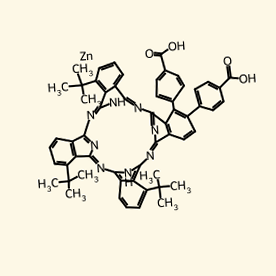 CC(C)(C)c1cccc2c1-c1nc-2nc2[nH]c(nc3nc(nc4[nH]c(n1)c1cccc(C(C)(C)C)c41)-c1ccc(-c4ccc(C(=O)O)cc4)c(-c4ccc(C(=O)O)cc4)c1-3)c1cccc(C(C)(C)C)c21.[Zn]